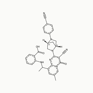 Cc1cc(C(C)Nc2ccccc2C(=O)O)c2nc(N3C[C@H]4C[C@@H]3CN4c3ccc(C#N)cc3)c(C#N)c(=O)n2c1